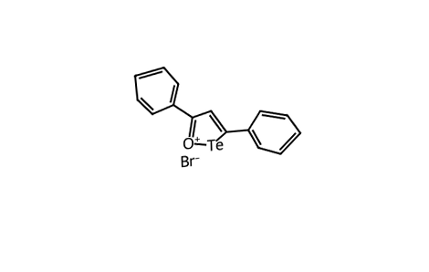 [Br-].c1ccc(-c2cc(-c3ccccc3)[te][o+]2)cc1